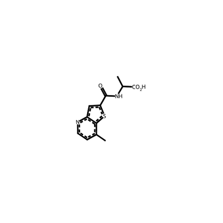 Cc1ccnc2cc(C(=O)NC(C)C(=O)O)sc12